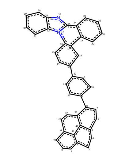 c1cc2ccc3ccc(-c4ccc(-c5ccc6c(c5)c5ccccc5c5nc7ccccc7n65)cc4)c4ccc(c1)c2c34